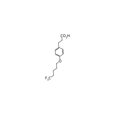 O=C(O)CCc1ccc(OCCCCC(F)(F)F)cc1